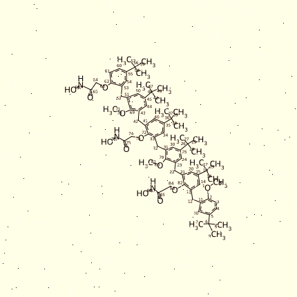 COc1ccc(C(C)(C)C)cc1Cc1cc(C(C)(C)C)cc(Cc2cc(C(C)(C)C)cc(Cc3cc(C(C)(C)C)cc(Cc4cc(C(C)(C)C)cc(Cc5cc(C(C)(C)C)ccc5OCC(=O)NO)c4OC)c3OCC(=O)NO)c2OC)c1OCC(=O)NO